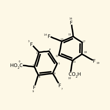 O=C(O)c1c(F)ccc(F)c1F.O=C(O)c1cc(F)c(F)cc1F